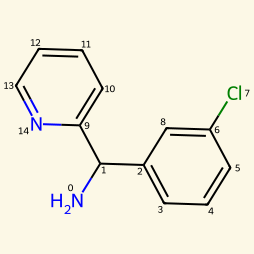 NC(c1cccc(Cl)c1)c1ccccn1